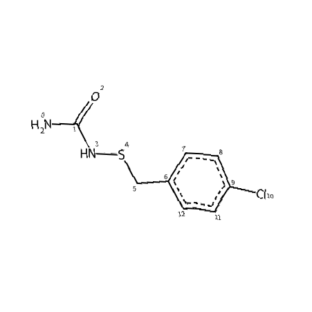 NC(=O)NSCc1ccc(Cl)cc1